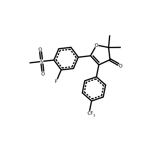 CC1(C)OC(c2ccc(S(C)(=O)=O)c(F)c2)=C(c2ccc(C(F)(F)F)cc2)C1=O